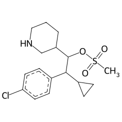 CS(=O)(=O)OC(C1CCCNC1)C(c1ccc(Cl)cc1)C1CC1